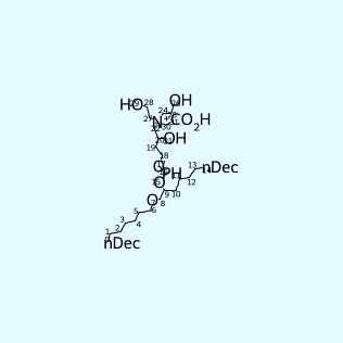 CCCCCCCCCCCCCCCCOCC(CCCCCCCCCCCCCC)OPOCCC(O)C[N+](CCO)(CCO)CC(=O)O